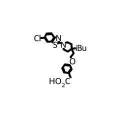 CCC(C)C1(CCOc2cccc(CC(=O)O)c2)CCN(c2nc3ccc(Cl)cc3s2)CC1